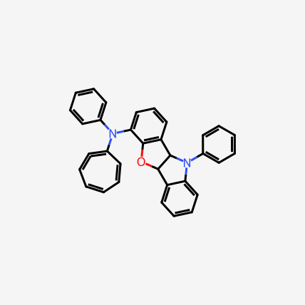 C1=CC=CC=CC=1N(c1ccccc1)c1cccc2c1OC1c3ccccc3N(c3ccccc3)C21